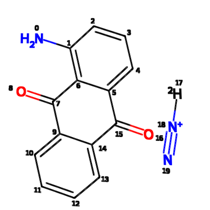 Nc1cccc2c1C(=O)c1ccccc1C2=O.[2H][N+]#N